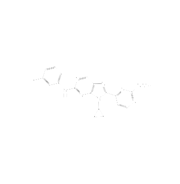 CNc1nccc(-c2nc3cnc(Nc4cccc(Cl)c4)nc3n2C2CC2)n1